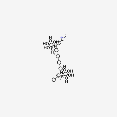 Bc1c(O)c(O)c(O)c(O)c1N(c1ccc(C(=C)/C=C\C=C/C)cc1)c1ccc(-c2ccc(-c3ccc(-c4ccc(N(c5ccc(-c6ccccc6)cc5)c5c(B)c(O)c(O)c(O)c5O)cc4)cc3)cc2)cc1